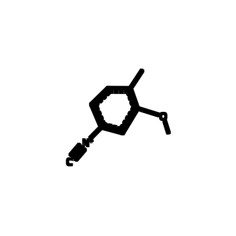 [C-]#[N+]c1ccc(C)c(OC)c1